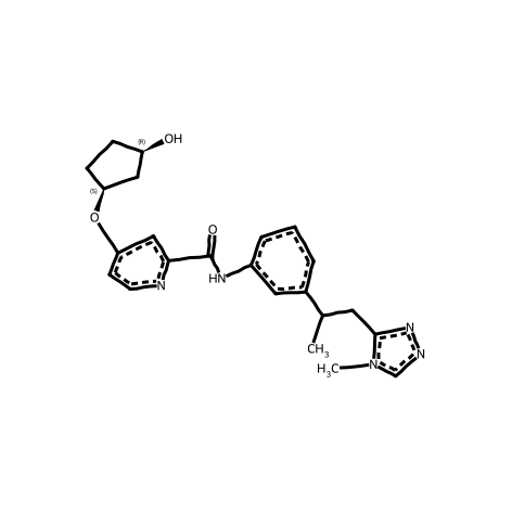 CC(Cc1nncn1C)c1cccc(NC(=O)c2cc(O[C@H]3CC[C@@H](O)C3)ccn2)c1